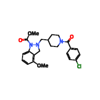 COC(=O)N1c2cccc(OC)c2CN1CC1CCN(C(=O)c2ccc(Cl)cc2)CC1